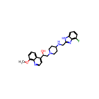 COc1cccc2c([C@@H](O)CN3CCC(NCc4nc5c(F)cccc5[nH]4)CC3)ccnc12